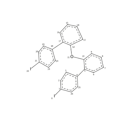 Ic1ccc(-c2ccccc2Oc2ccccc2-c2ccc(I)cc2)cc1